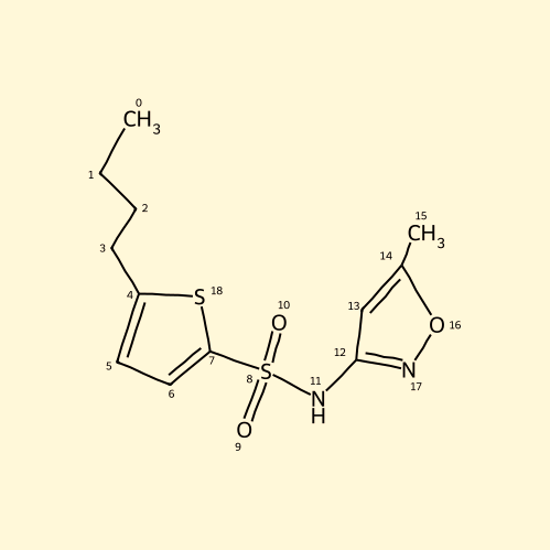 CCCCc1ccc(S(=O)(=O)Nc2cc(C)on2)s1